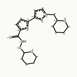 O=C(NOC1CCCCO1)c1ccc(-c2ccn(CC3CCCCO3)n2)s1